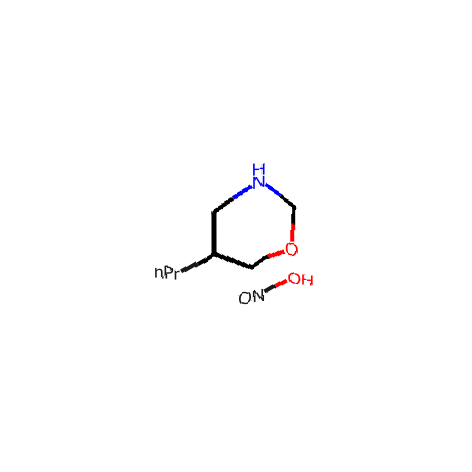 CCCC1CNCOC1.O=NO